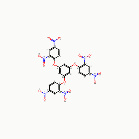 O=[N+]([O-])c1ccc(Oc2cc(Oc3ccc([N+](=O)[O-])cc3[N+](=O)[O-])cc(Oc3ccc([N+](=O)[O-])cc3[N+](=O)[O-])c2)c([N+](=O)[O-])c1